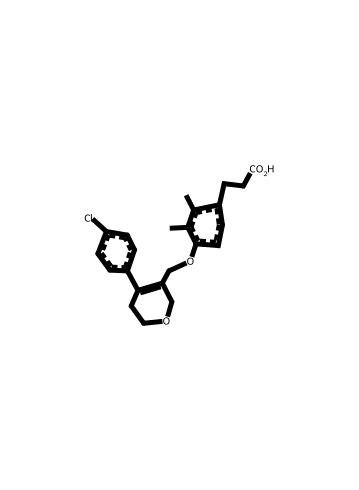 Cc1c(CCC(=O)O)ccc(OCC2=C(c3ccc(Cl)cc3)CCOC2)c1C